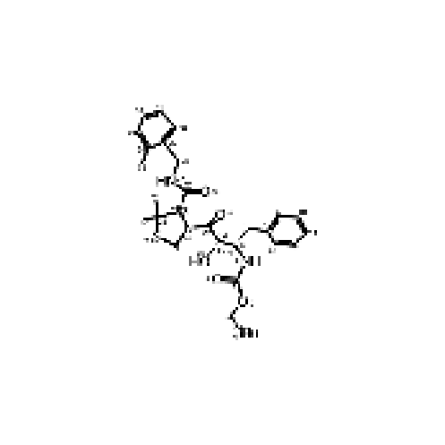 CC[C@H](C)COC(=O)N[C@@H](Cc1ccccc1)[C@H](O)C(=O)N1CSC(C)(C)[C@H]1C(=O)NCc1ccccc1C